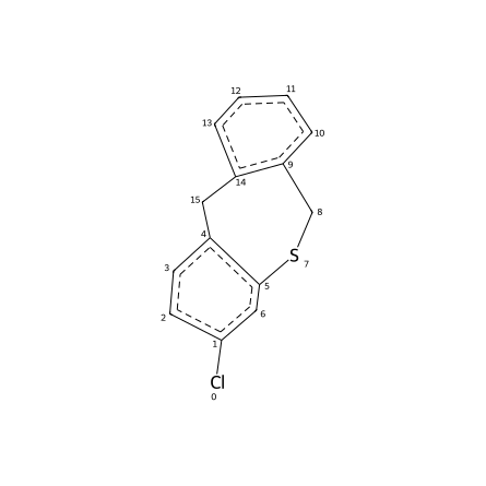 Clc1ccc2c(c1)SCc1ccccc1C2